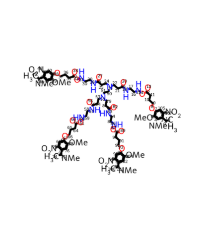 CNC(C)c1cc(OC)c(OCCCC(=O)ONCCNC(=O)CCN(CCC(=O)NCCNOC(=O)CCCOc2cc([N+](=O)[O-])c(C(C)NC)cc2OC)CCN(CCC(=O)NCCNOC(=O)CCCOc2cc([N+](=O)[O-])c(C(C)NC)cc2OC)CCC(=O)NCCNOC(=O)CCCOc2cc([N+](=O)[O-])c(C(C)NC)cc2OC)cc1[N+](=O)[O-]